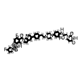 O=C(Cn1ccc(=O)[nH]c1=O)Nc1ccc(N2CCN(CCc3ccc(-c4cnc5c(ccn5C(=O)c5c(F)ccc(NS(=O)(=O)N6CC[C@@H](F)C6)c5F)c4)cc3)CC2)cc1F